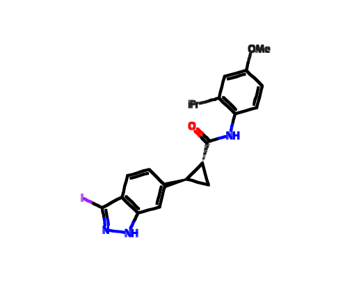 COc1ccc(NC(=O)[C@@H]2C[C@H]2c2ccc3c(I)n[nH]c3c2)c(C(C)C)c1